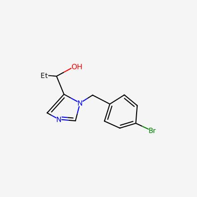 CCC(O)c1cncn1Cc1ccc(Br)cc1